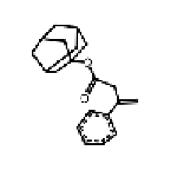 C=C(CC(=O)OC12CC3CC(CC(C3)C1)C2)c1ccccc1